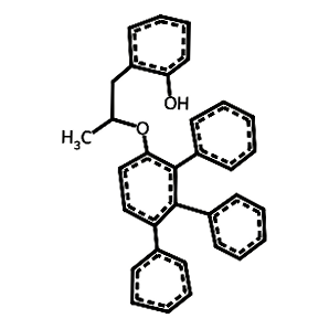 CC(Cc1ccccc1O)Oc1ccc(-c2ccccc2)c(-c2ccccc2)c1-c1ccccc1